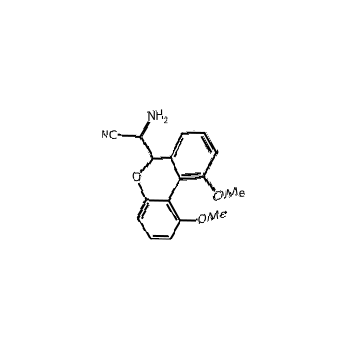 COc1cccc2c1-c1c(OC)cccc1C(C(N)C#N)O2